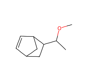 COC(C)C1CC2C=CC1C2